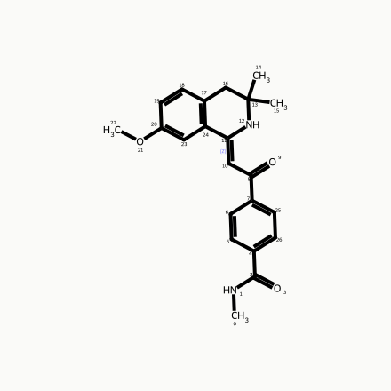 CNC(=O)c1ccc(C(=O)/C=C2\NC(C)(C)Cc3ccc(OC)cc32)cc1